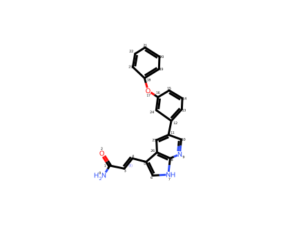 NC(=O)/C=C/c1c[nH]c2ncc(-c3cccc(Oc4ccccc4)c3)cc12